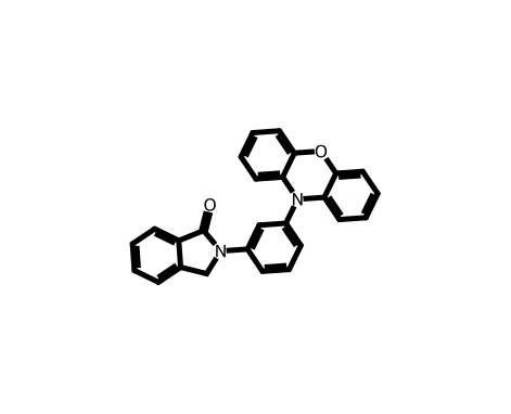 O=C1c2ccccc2CN1c1cccc(N2c3ccccc3Oc3ccccc32)c1